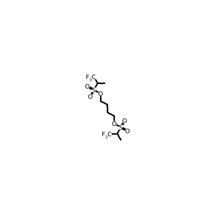 CC(C(F)(F)F)S(=O)(=O)OCCCCOS(=O)(=O)C(C)C(F)(F)F